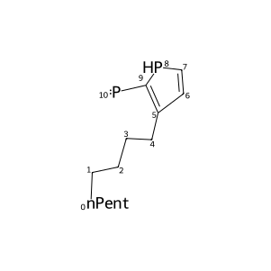 CCCCCCCCCc1cc[pH]c1[P]